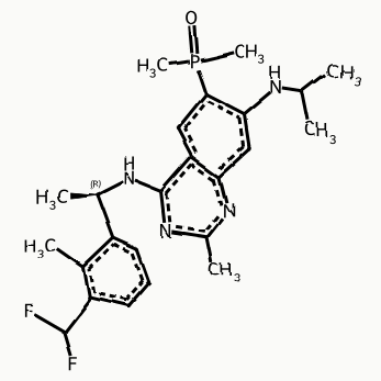 Cc1nc(N[C@H](C)c2cccc(C(F)F)c2C)c2cc(P(C)(C)=O)c(NC(C)C)cc2n1